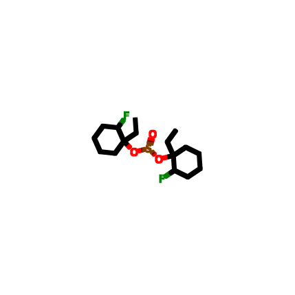 CCC1(OS(=O)OC2(CC)CCCCC2F)CCCCC1F